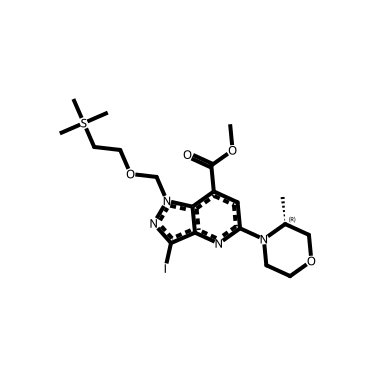 COC(=O)c1cc(N2CCOC[C@H]2C)nc2c(I)nn(COCCS(C)(C)C)c12